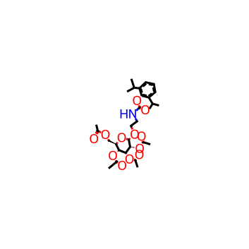 CC(=O)OC[C@H]1O[C@@H](OCCNC(=O)Oc2c(C(C)C)cccc2C(C)C)[C@H](OC(C)=O)[C@@H](OC(C)=O)[C@@H]1OC(C)=O